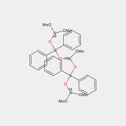 CO[SiH](OC)O[Si](O[SiH](OC)O[Si](O[SiH](OC)OC)(c1ccccc1)c1ccccc1)(c1ccccc1)c1ccccc1